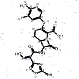 Nc1nc(/C(=N/O)C(=O)NC2C(=O)N3C(C(=O)O)=C(Sc4cnc(N)c(F)c4)CCC23)ns1